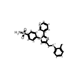 Cc1ccccc1SCc1cn(-c2ccc(S(N)(=O)=O)cc2)c(-c2cccnc2)n1